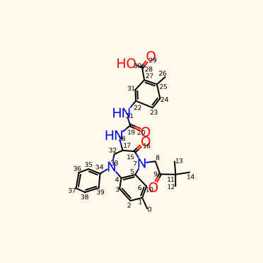 Cc1ccc2c(c1)N(CC(=O)C(C)(C)C)C(=O)C(NC(=O)Nc1ccc(C)c(C(=O)O)c1)CN2c1ccccc1